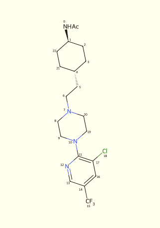 CC(=O)N[C@H]1CC[C@H](CCN2CCN(c3ncc(C(F)(F)F)cc3Cl)CC2)CC1